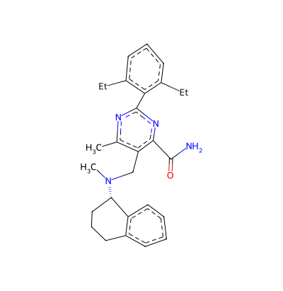 CCc1cccc(CC)c1-c1nc(C)c(CN(C)[C@H]2CCCc3ccccc32)c(C(N)=O)n1